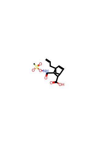 C=CCC12C=CC(C1)C(C(=O)O)C2C(=O)NOS(C)(=O)=O